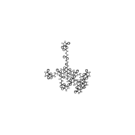 O=C(CCCC(=O)ON1C(=O)CCC1=O)OCCOCC(OCCOC(=O)CCCC(=O)ON1C(=O)CCC1=O)C(OCCOC(=O)CCCC(=O)ON1C(=O)CCC1=O)C(OCCOC(=O)CCCC(=O)ON1C(=O)CCC1=O)C(COCCOC(=O)CCCC(=O)ON1C(=O)CCC1=O)OCCOC(=O)CCCC(=O)ON1C(=O)CCC1=O